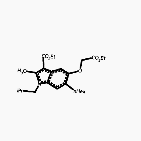 CCCCCCc1cc2c(cc1OCC(=O)OCC)c(C(=O)OCC)c(C)n2CC(C)C